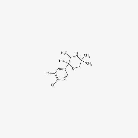 CCc1cc(C2(O)OCC(C)(C)NC2C)ccc1Cl